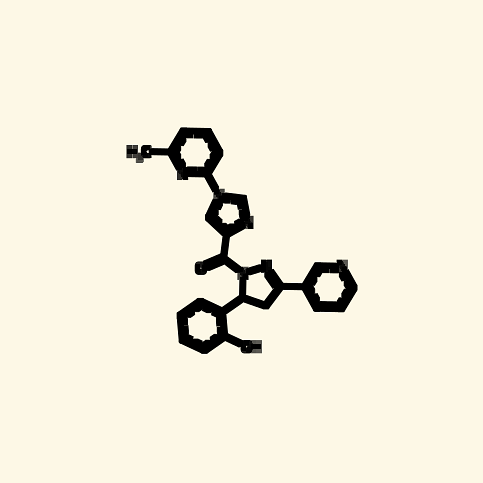 Cc1cccc(-n2cnc(C(=O)N3N=C(c4cccnc4)CC3c3ccccc3O)c2)n1